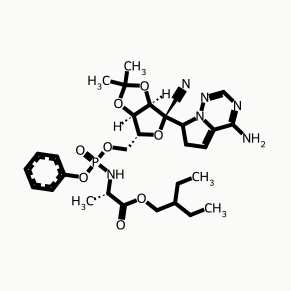 CCC(CC)COC(=O)[C@H](C)NP(=O)(OC[C@H]1O[C@@](C#N)(C2CC=C3C(N)=NC=NN32)[C@@H]2OC(C)(C)O[C@@H]21)Oc1ccccc1